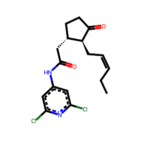 CC/C=C\C[C@@H]1C(=O)CC[C@H]1CC(=O)Nc1cc(Cl)nc(Cl)c1